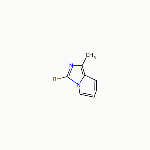 Cc1nc(Br)n2ccccc12